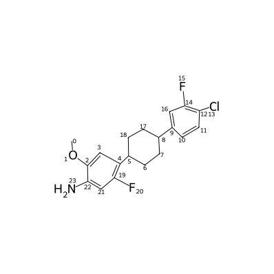 COc1cc(C2CCC(c3ccc(Cl)c(F)c3)CC2)c(F)cc1N